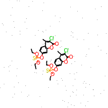 CCOP(=S)(OCC)Oc1ccc2c(C)c(Cl)c(=O)oc2c1.CCOP(=S)(OCC)Oc1ccc2c(C)c(Cl)c(=O)oc2c1